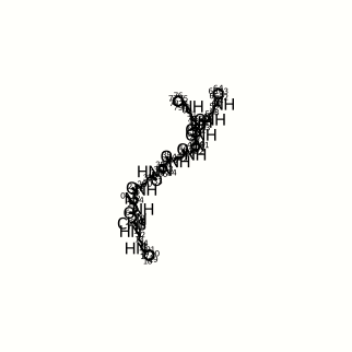 Cn1cc(NC(=O)c2nsc(NCCCNC3CCCCC3)c2Cl)cc1C(=O)NCCCC(=O)Nc1cc(C(=O)NCCC(=O)Nc2cc(C(=O)NC(CC(=O)NCCCNC3CCCCC3)C(=O)NCCCNC3CCCCC3)n(C)c2)n(C)c1